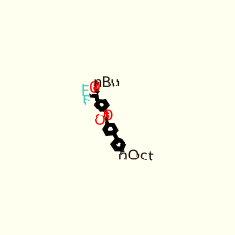 CCCCCCCCc1ccc(-c2ccc(C(=O)Oc3ccc([C@H](COCCCC)C(F)F)cc3)cc2)cc1